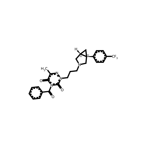 Cc1nn(CCCN2C[C@@H]3C[C@]3(c3ccc(C(F)(F)F)cc3)C2)c(=O)n(C(=O)c2ccccc2)c1=O